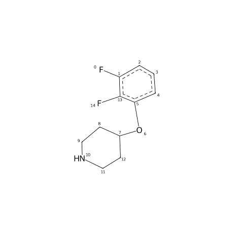 Fc1cccc(OC2CCNCC2)c1F